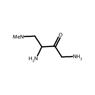 CNCC(N)C(=O)CN